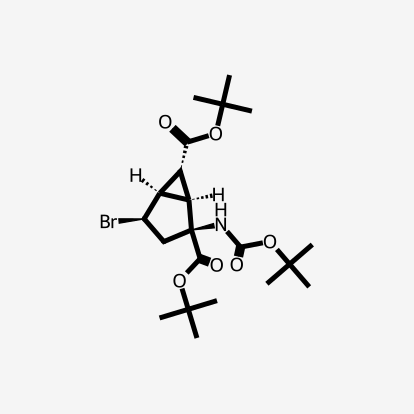 CC(C)(C)OC(=O)N[C@@]1(C(=O)OC(C)(C)C)C[C@@H](Br)[C@H]2[C@H](C(=O)OC(C)(C)C)[C@H]21